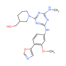 CNc1nc(Nc2ccc(-c3cnco3)c(OC)c2)nc(N2CCCC(CO)C2)n1